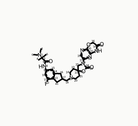 CN(C)C(C)(C)C(=O)Nc1cc(F)c2c(c1)CC(CN1CCC3(CC1)CN(c1cnc4c(n1)NC(=O)CO4)C(=O)O3)C2